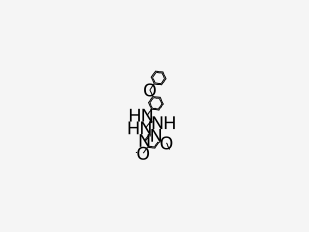 COc1cc(OC)nc(NC(=N)Nc2cccc(Oc3ccccc3)c2)n1